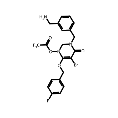 NCc1cccc(CN2CN(OC(=O)C(F)(F)F)C(OCc3ccc(F)cc3)=C(Br)C2=O)c1